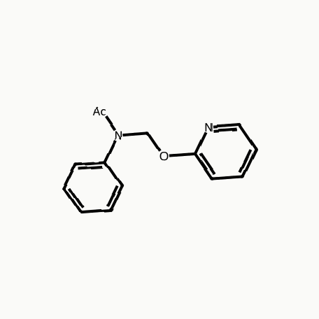 CC(=O)N(COc1ccccn1)c1ccccc1